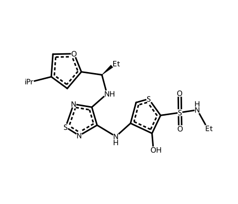 CCNS(=O)(=O)c1scc(Nc2nsnc2N[C@H](CC)c2cc(C(C)C)co2)c1O